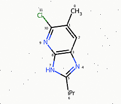 Cc1cc2nc(C(C)C)[nH]c2nc1Cl